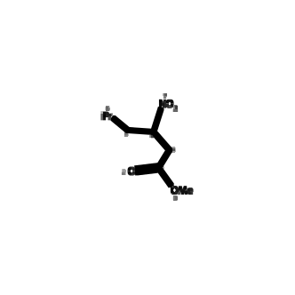 COC(=O)CC(CC(C)C)[N+](=O)[O-]